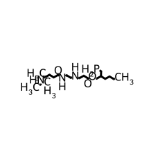 CCCCC(CP)COC(=O)CCNCCNC(=O)CCC(C)(C)NCC